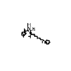 N#CNC(=Nc1ccncc1)NCCCCCCCCCOc1ccccc1